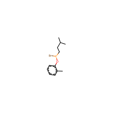 Cc1ccccc1OP(Br)CCC(C)C